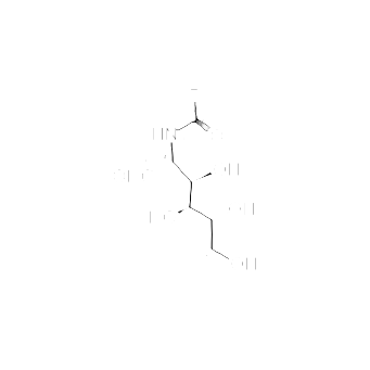 CCC(=O)N[C@@H](C=O)[C@@H](O)[C@H](O)[C@H](O)CO